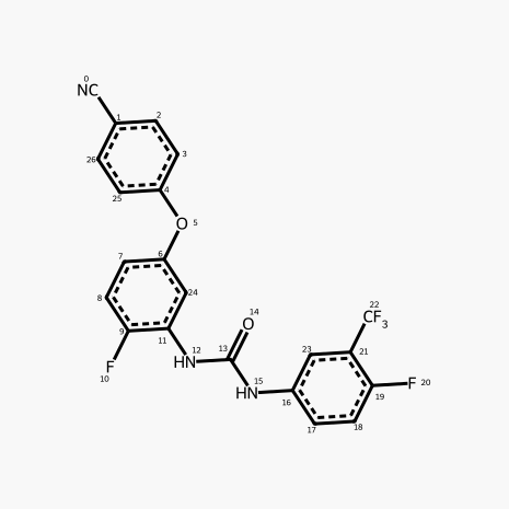 N#Cc1ccc(Oc2ccc(F)c(NC(=O)Nc3ccc(F)c(C(F)(F)F)c3)c2)cc1